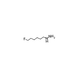 NNCCCCCCF